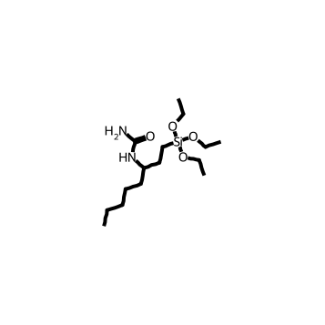 CCCCCC(CC[Si](OCC)(OCC)OCC)NC(N)=O